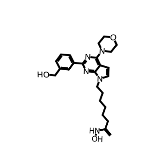 C=C(CCCCCCn1ccc2c(N3CCOCC3)nc(-c3cccc(CO)c3)nc21)NO